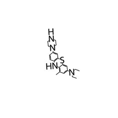 CCN(CC)c1cc(C)c2c(c1)Sc1cc(N3CCNCC3)ccc1N2